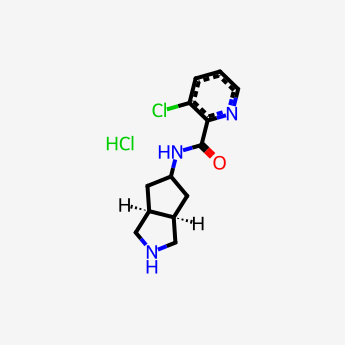 Cl.O=C(NC1C[C@H]2CNC[C@H]2C1)c1ncccc1Cl